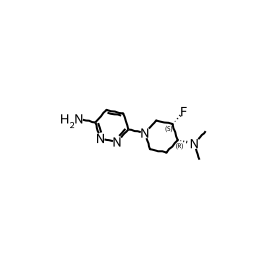 CN(C)[C@@H]1CCN(c2ccc(N)nn2)C[C@@H]1F